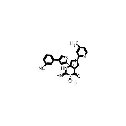 Cc1ccnc(N2CC3C(=O)N(C)C(=N)N[C@@]3(c3cc(-c4cccc(C#N)c4)cs3)C2)c1